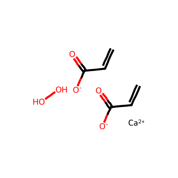 C=CC(=O)[O-].C=CC(=O)[O-].OO.[Ca+2]